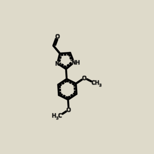 COc1ccc(-c2nc(C=O)c[nH]2)c(OC)c1